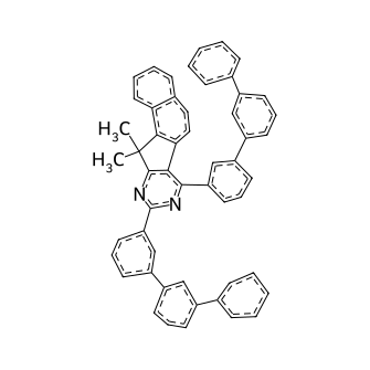 CC1(C)c2nc(-c3cccc(-c4cccc(-c5ccccc5)c4)c3)nc(-c3cccc(-c4cccc(-c5ccccc5)c4)c3)c2-c2ccc3ccccc3c21